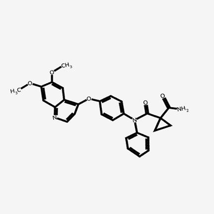 COc1cc2nccc(Oc3ccc(N(C(=O)C4(C(N)=O)CC4)c4ccccc4)cc3)c2cc1OC